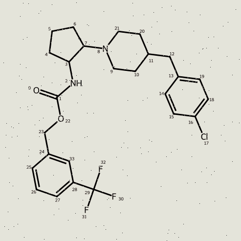 O=C(NC1CCCC1N1CCC(Cc2ccc(Cl)cc2)CC1)OCc1cccc(C(F)(F)F)c1